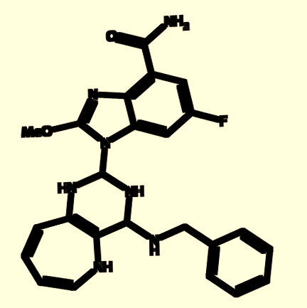 COc1nc2c(C(N)=O)cc(F)cc2n1C1NC2=C(NC=CC=C2)C(NCc2ccccc2)N1